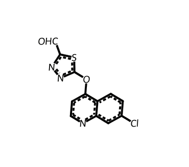 O=Cc1nnc(Oc2ccnc3cc(Cl)ccc23)s1